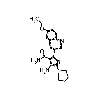 CCOc1ccc2ncc(-c3nn(C4CCCCC4)c(N)c3C(N)=O)cc2c1